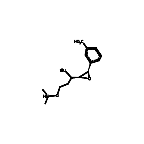 C[SiH](C)OCCC([C@@H]1O[C@H]1c1cccc(C(=O)O)c1)C(C)(C)C